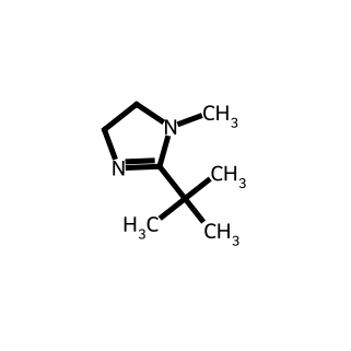 CN1CCN=C1C(C)(C)C